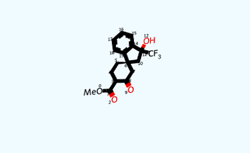 COC(=O)C1CC[C@]2(CC1=O)CC(O)(C(F)(F)F)c1ccccc12